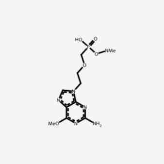 CNOP(=O)(O)COCCn1cnc2c(OC)nc(N)nc21